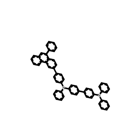 c1ccc(-c2cc3ccccc3c3cc(-c4ccc(N(c5ccccc5)c5ccc(-c6ccc(N(c7ccccc7)c7ccccc7)cc6)cc5)cc4)ccc23)cc1